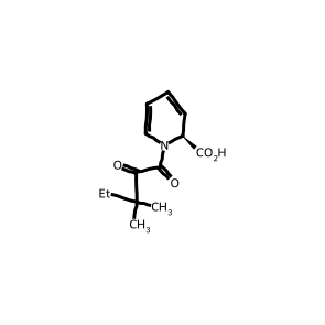 CCC(C)(C)C(=O)C(=O)N1C=CC=C[C@H]1C(=O)O